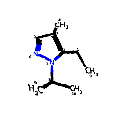 CCc1c(C)[c]nn1C(C)C